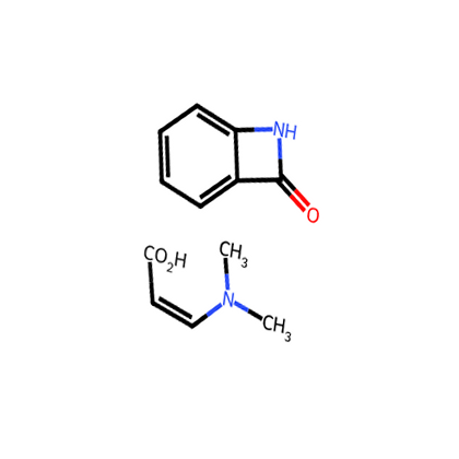 CN(C)/C=C\C(=O)O.O=C1Nc2ccccc21